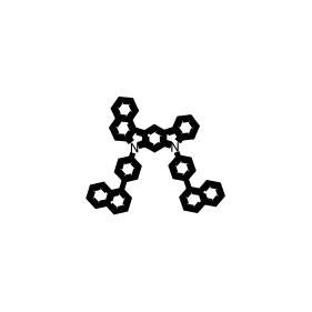 c1ccc2c(-c3ccc(-n4c5ccccc5c5cc6c7c8ccccc8ccc7n(-c7ccc(-c8cccc9ccccc89)cc7)c6cc54)cc3)cccc2c1